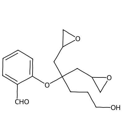 O=Cc1ccccc1OC(CCCO)(CC1CO1)CC1CO1